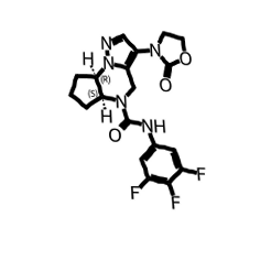 O=C1OCCN1c1cnn2c1CN(C(=O)Nc1cc(F)c(F)c(F)c1)[C@H]1CCC[C@H]12